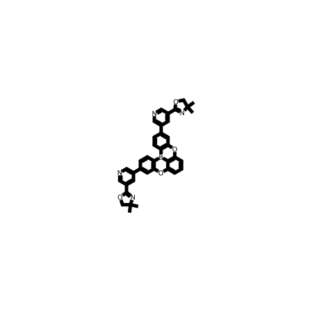 CC1(C)COC(c2cncc(-c3ccc4c(c3)Oc3cccc5c3B4c3ccc(-c4cncc(C6=NC(C)(C)CO6)c4)cc3O5)c2)=N1